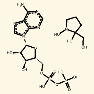 Nc1ncnc2c1ncn2[C@@H]1O[C@H](COP(=O)(O)OP(=O)(O)O)[C@@H](O)[C@H]1O.OCC1(O)CCCN1O